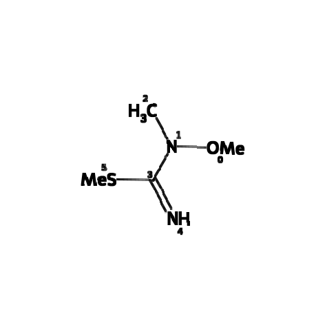 CON(C)C(=N)SC